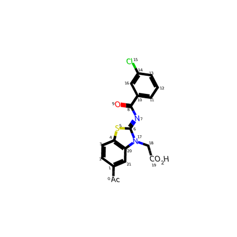 CC(=O)c1ccc2s/c(=N\C(=O)c3cccc(Cl)c3)n(CC(=O)O)c2c1